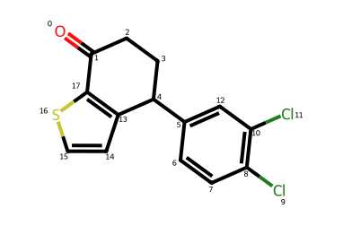 O=C1CCC(c2ccc(Cl)c(Cl)c2)c2ccsc21